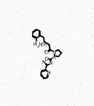 N[C@@H](CC(=O)N1CCC[C@H]1c1nc(-c2ccccn2)no1)Cc1ccccc1F